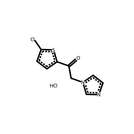 Cl.O=C(Cn1ccnc1)c1ccc(Cl)s1